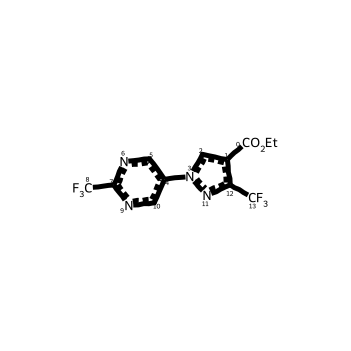 CCOC(=O)c1cn(-c2cnc(C(F)(F)F)nc2)nc1C(F)(F)F